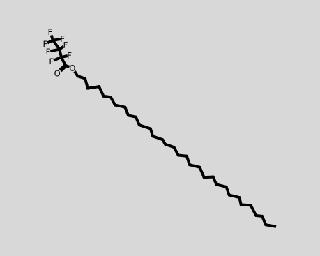 CCCCCCCCCCCCCCCCCCCCCCCCCCCCCCCCOC(=O)C(F)(F)C(F)(F)C(F)(F)F